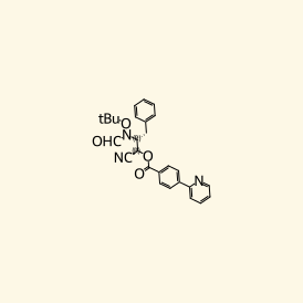 CC(C)(C)ON(C=O)[C@H](Cc1ccccc1)[C@H](C#N)OC(=O)c1ccc(-c2ccccn2)cc1